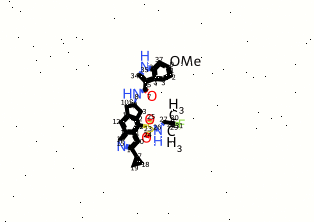 COc1ccc2c(C(=O)N[C@@H]3Cc4cc5cnc(C6CC6)cc5c(S(=O)(=O)NCC(C)(C)F)c4C3)c[nH]c2c1